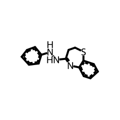 c1ccc(NNC2=Nc3ccccc3SCC2)cc1